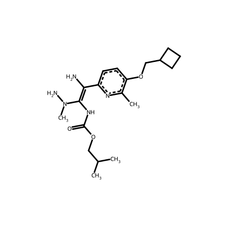 Cc1nc(/C(N)=C(\NC(=O)OCC(C)C)N(C)N)ccc1OCC1CCC1